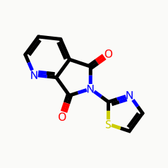 O=C1c2cccnc2C(=O)N1c1nccs1